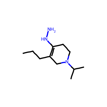 CCCC1=C(NN)CCN(C(C)C)C1